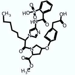 CCCCCCC(C(=O)N1CC(Oc2ccc(CC(=O)O)cc2)C[C@H]1C(=O)OC)n1cnc(NC(=O)c2ccccc2S(=O)(=O)O)c1